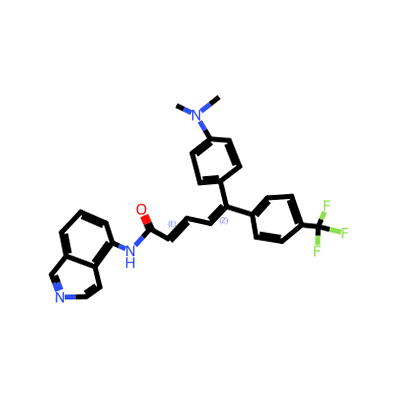 CN(C)c1ccc(/C(=C\C=C\C(=O)Nc2cccc3cnccc23)c2ccc(C(F)(F)F)cc2)cc1